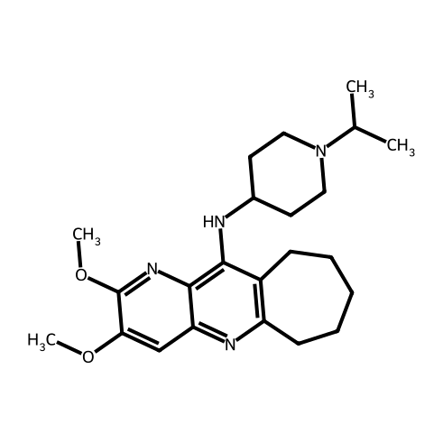 COc1cc2nc3c(c(NC4CCN(C(C)C)CC4)c2nc1OC)CCCCC3